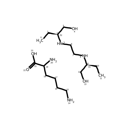 CC[C@@H](CO)NCCN[C@@H](CC)CO.NCCCCC(N)C(=O)O